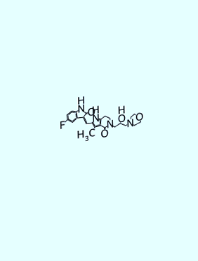 Cc1c(C=C2C(=O)Nc3ccc(F)cc32)[nH]c2c1C(=O)N(CC(O)CN1CCOCC1)CC2